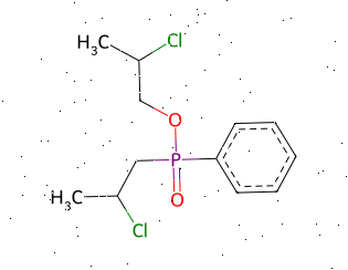 CC(Cl)COP(=O)(CC(C)Cl)c1ccccc1